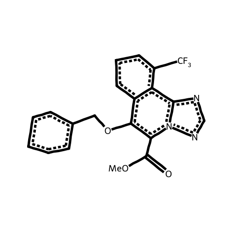 COC(=O)c1c(OCc2ccccc2)c2cccc(C(F)(F)F)c2c2ncnn12